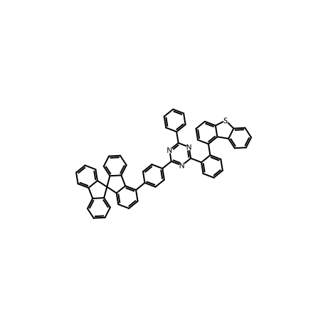 c1ccc(-c2nc(-c3ccc(-c4cccc5c4-c4ccccc4C54c5ccccc5-c5ccccc54)cc3)nc(-c3ccccc3-c3cccc4sc5ccccc5c34)n2)cc1